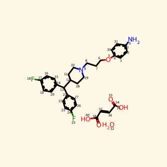 Nc1ccc(OCCCN2CCC(C(c3ccc(F)cc3)c3ccc(F)cc3)CC2)cc1.O.O=C(O)/C=C/C(=O)O